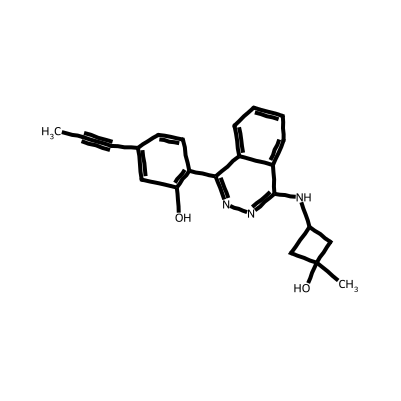 CC#Cc1ccc(-c2nnc(NC3CC(C)(O)C3)c3ccccc23)c(O)c1